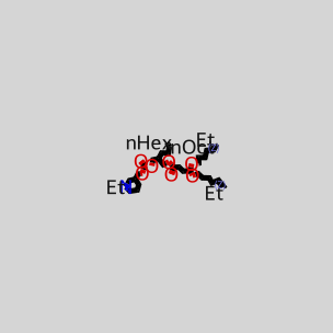 CC/C=C\CCCCOC(CCC(=O)OCC(CCC(CCCC[CH]CCC)CCCCCC)COC(=O)OCC1CCCN(CC)C1)OCCCC/C=C\CC